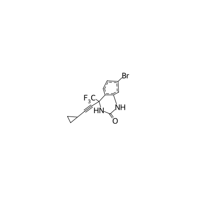 O=C1Nc2cc(Br)ccc2C(C#CC2CC2)(C(F)(F)F)N1